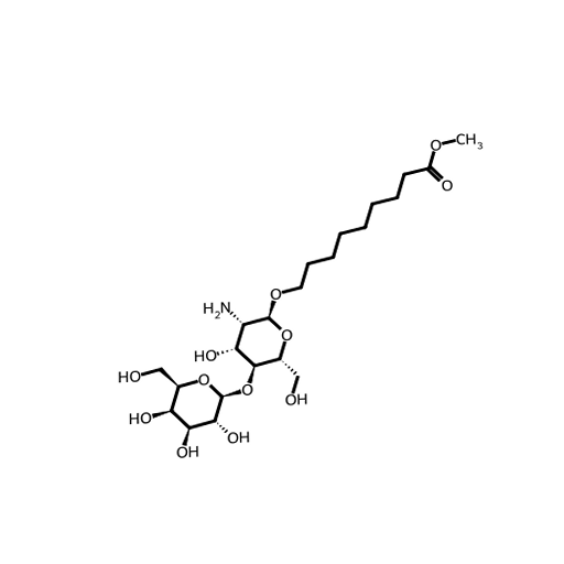 COC(=O)CCCCCCCCO[C@H]1O[C@H](CO)[C@@H](O[C@@H]2O[C@H](CO)[C@H](O)[C@H](O)[C@H]2O)[C@H](O)[C@@H]1N